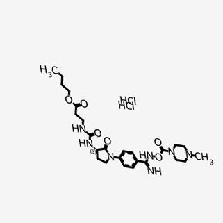 CCCCOC(=O)CCNC(=O)N[C@H]1CCN(c2ccc(C(=N)NOC(=O)N3CCN(C)CC3)cc2)C1=O.Cl.Cl